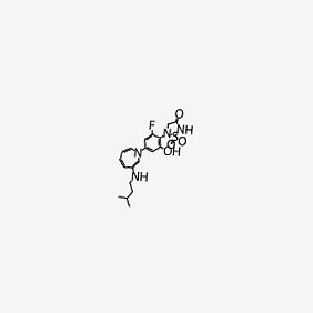 CC(C)CCNC1=CN(c2cc(O)c(N3CC(=O)NS3(=O)=O)c(F)c2)C=CC=C1